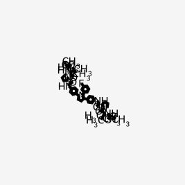 COC(=O)N[C@H](C(=O)N1CCC[C@H]1C(=O)Nc1ccc(C2CCC(c3ccc(NC(=O)[C@@H]4CCCN4C(=O)[C@@H](NC(=O)OC)C(C)(C)C)cc3)N2c2cccc(F)c2)cc1)C(C)(C)C